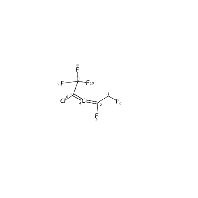 FCC(F)=C=C(Cl)C(F)(F)F